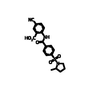 CC1CCCN1S(=O)(=O)c1ccc(C(=O)Nc2ccc(C#N)cc2C(=O)O)cc1